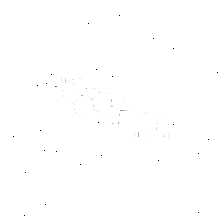 CCC1(C)C(C[C@@H](C)O)CCC2C1CCC1(C)C(CCCC(C)C(C)C)CCC21